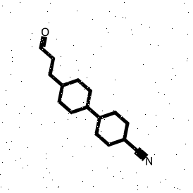 N#CC1CCC(C2CCC(CCC=O)CC2)CC1